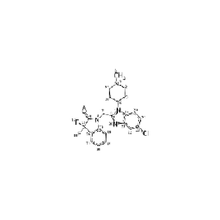 CN1CCC(n2c(CN3C(=O)C(F)(F)c4ccccc43)nc3cc(Cl)ccc32)CC1